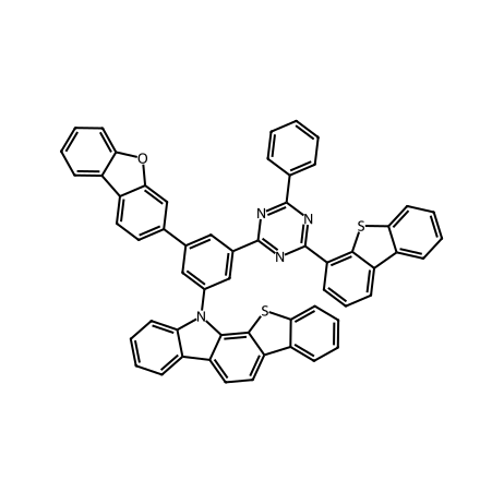 c1ccc(-c2nc(-c3cc(-c4ccc5c(c4)oc4ccccc45)cc(-n4c5ccccc5c5ccc6c7ccccc7sc6c54)c3)nc(-c3cccc4c3sc3ccccc34)n2)cc1